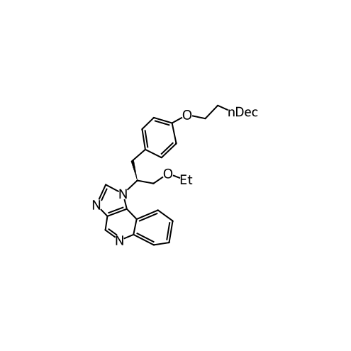 CCCCCCCCCCCCOc1ccc(C[C@@H](COCC)n2cnc3cnc4ccccc4c32)cc1